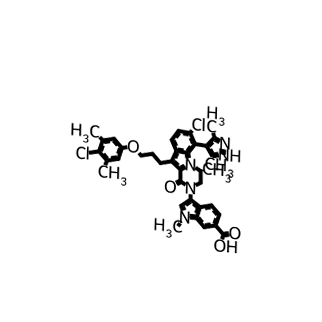 Cc1cc(OCCCc2c3n(c4c(-c5c(C)n[nH]c5C)c(Cl)ccc24)[C@H](C)CN(c2cn(C)c4cc(C(=O)O)ccc24)C3=O)cc(C)c1Cl